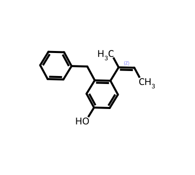 C/C=C(/C)c1ccc(O)cc1Cc1ccccc1